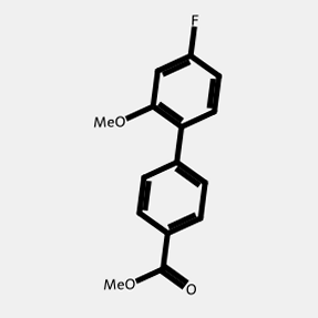 COC(=O)c1ccc(-c2ccc(F)cc2OC)cc1